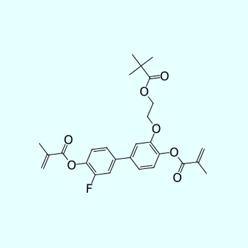 C=C(C)C(=O)Oc1ccc(-c2ccc(OC(=O)C(=C)C)c(OCCOC(=O)C(C)(C)C)c2)cc1F